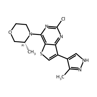 Cc1n[nH]cc1-c1csc2c(N3CCOC[C@H]3C)nc(Cl)nc12